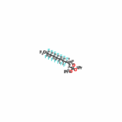 CC(C)O[Si](CCC(F)(F)C(F)(F)C(F)(F)C(F)(F)C(F)(F)C(F)(F)C(F)(F)C(F)(F)F)(OC(C)C)OC(C)C